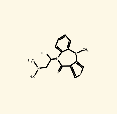 CC(CN(C)C)N1C(=O)c2cscc2N(C)c2ccccc21